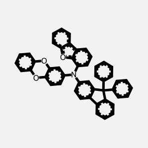 c1ccc(C2(c3ccccc3)c3ccccc3-c3ccc(N(c4ccc5c(c4)Oc4ccccc4O5)c4cccc5c4oc4ccccc45)cc32)cc1